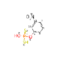 O=[N+]([O-])c1cccc(OP(O)(=S)S)c1